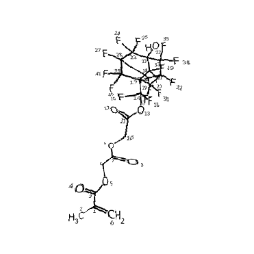 C=C(C)C(=O)OCC(=O)OCC(=O)OC(F)(F)C12C(F)(F)C3(O)C(F)(F)C(F)(C(F)(F)C(F)(C3(F)F)C1(F)F)C2(F)F